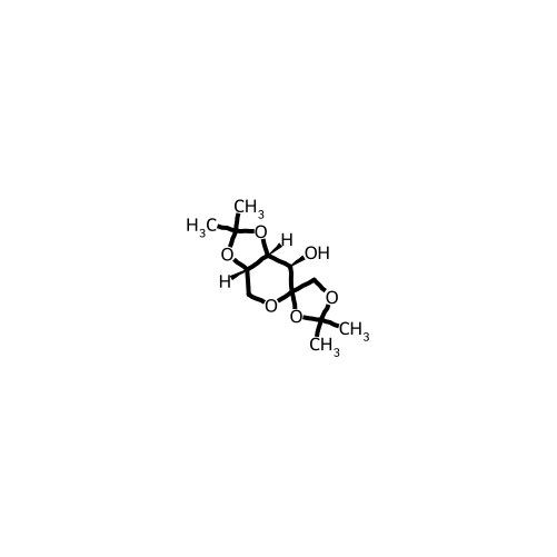 CC1(C)O[C@H]2[C@H](COC3(COC(C)(C)O3)[C@@H]2O)O1